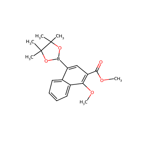 COC(=O)c1cc(B2OC(C)(C)C(C)(C)O2)c2ccccc2c1OC